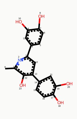 Cc1nc(-c2ccc(O)c(O)c2)cc(-c2ccc(O)c(O)c2)c1O